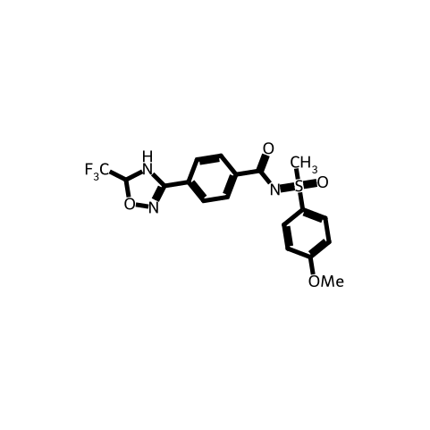 COc1ccc(S(C)(=O)=NC(=O)c2ccc(C3=NOC(C(F)(F)F)N3)cc2)cc1